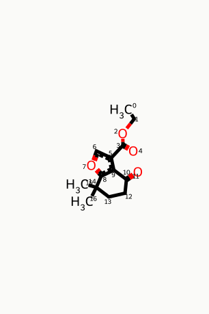 CCOC(=O)c1coc2c1C(=O)CCC2(C)C